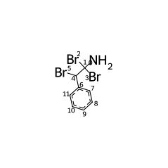 NC(Br)(Br)C(Br)c1ccccc1